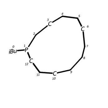 CCC(C)P1CCCCCCCCCCC1